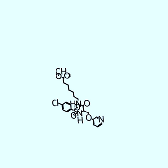 COC(=O)CCCCCCNC(=O)C(COc1cccnc1)NS(=O)(=O)c1ccc(Cl)cc1